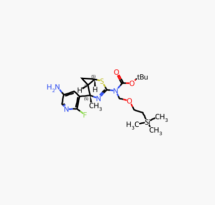 CC(C)(C)OC(=O)N(COCC[Si](C)(C)C)C1=N[C@](C)(c2cc(N)cnc2F)[C@@H]2C[C@@H]2S1